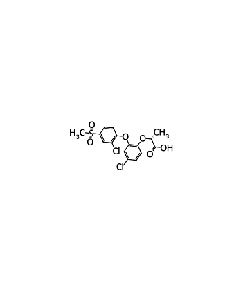 C[C@@H](Oc1ccc(Cl)cc1Oc1ccc(S(C)(=O)=O)cc1Cl)C(=O)O